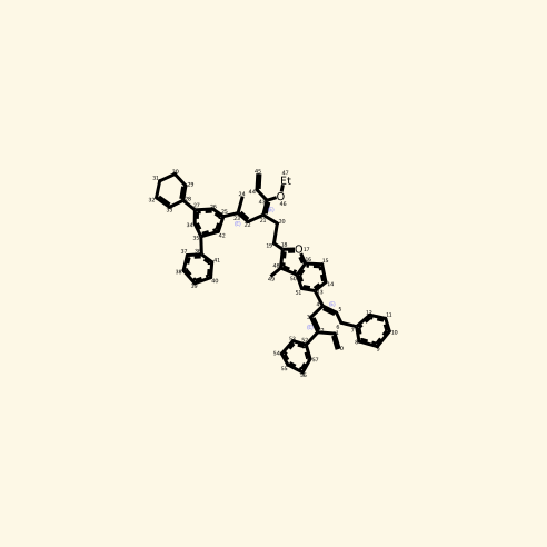 C=C/C(=C\C(=C/Cc1ccccc1)c1ccc2oc(CCC(/C=C(\C)c3cc(C4=CCCC=C4)cc(-c4ccccc4)c3)=C(/C=C)OCC)c(C)c2c1)c1ccccc1